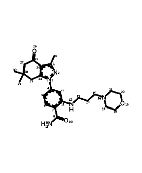 Cc1nn(-c2ccc(C(N)=O)c(NCCCN3CCOCC3)c2)c2c1C(=O)CC(C)(C)C2